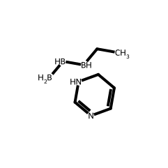 BBBCC.C1=CN=CNC1